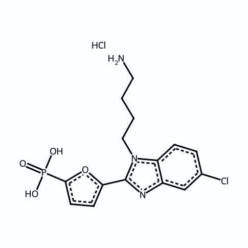 Cl.NCCCCn1c(-c2ccc(P(=O)(O)O)o2)nc2cc(Cl)ccc21